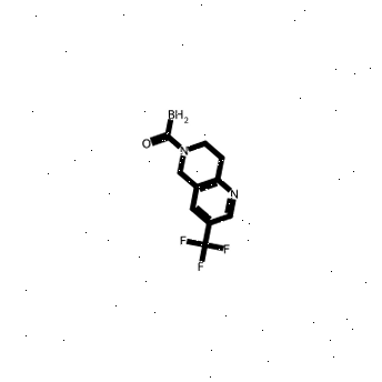 BC(=O)N1CCc2ncc(C(F)(F)F)cc2C1